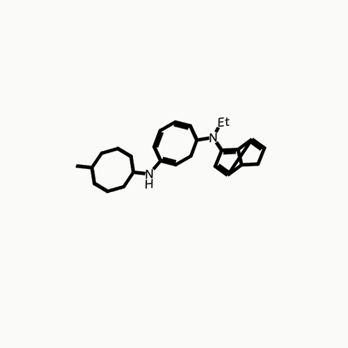 CCN(C1=C2C3=CCC2C3=C1)C1\C=C/C=C\C(NC2CCCC(C)CCC2)=C/C1